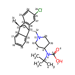 CC(C)(C)N(C(=O)O)C1CCN(C[C@@]23C[C@H](c4ccccc42)c2ccc(Cl)cc23)CC1